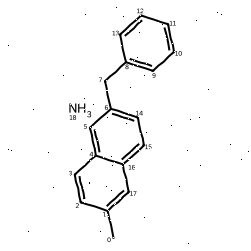 Cc1ccc2cc(Cc3ccccc3)ccc2c1.N